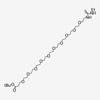 CCNC(=S)NCCOCCOCCOCCOCCOCCOCCOCCOCCOCCOCCC(=O)OC(C)(C)C